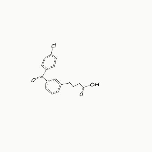 O=C(O)CCCc1cccc(C(=O)c2ccc(Cl)cc2)c1